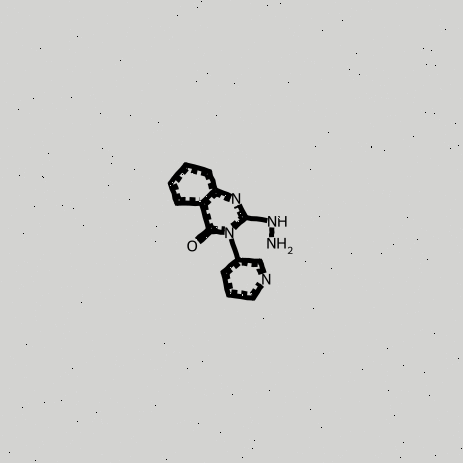 NNc1nc2ccccc2c(=O)n1-c1cccnc1